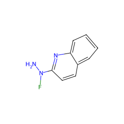 NN(F)c1ccc2ccccc2n1